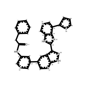 O=C(Cc1ccccc1)Nc1cncc(-c2cnc3[nH]nc(-c4nc5c(-c6cccs6)cncc5[nH]4)c3c2)c1